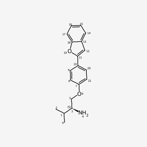 CC(C)[C@H](N)COc1ccc(-c2cc3ccccc3o2)cc1